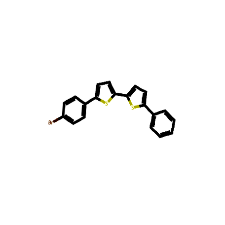 Brc1ccc(-c2ccc(-c3ccc(-c4ccccc4)s3)s2)cc1